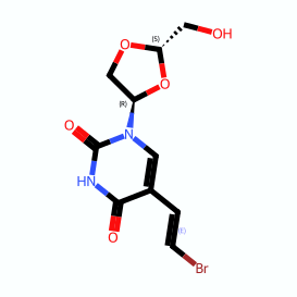 O=c1[nH]c(=O)n([C@H]2CO[C@H](CO)O2)cc1/C=C/Br